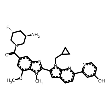 COc1cc(C(=O)N2C[C@H](N)C[C@@H](F)C2)cc2nc(-c3cc4ccc(-c5cc(O)ccn5)nc4n3CC3CC3)n(C)c12